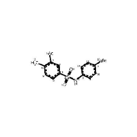 CC(=O)c1cc(S(=O)(=O)Nc2ccc(C(C)(C)C)cc2)ccc1C